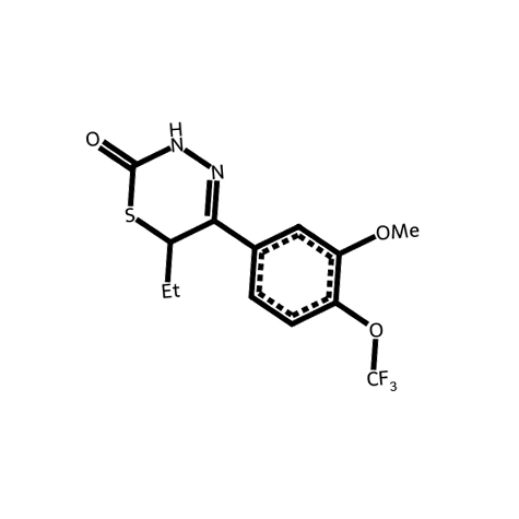 CCC1SC(=O)NN=C1c1ccc(OC(F)(F)F)c(OC)c1